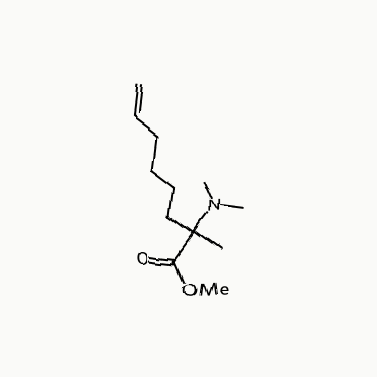 C=CCCCCC(C)(C(=O)OC)N(C)C